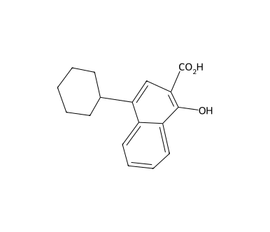 O=C(O)c1cc(C2CCCCC2)c2ccccc2c1O